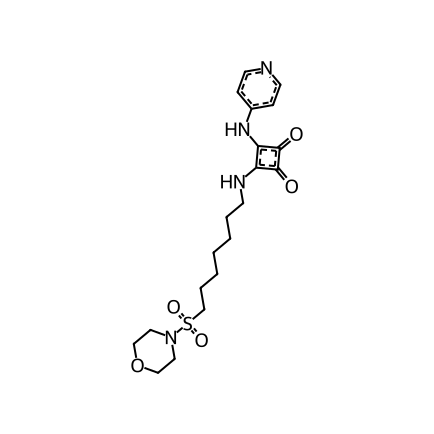 O=c1c(NCCCCCCCS(=O)(=O)N2CCOCC2)c(Nc2ccncc2)c1=O